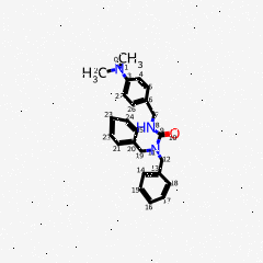 CN(C)c1ccc(CNC(=O)N(Cc2ccccc2)Cc2ccccc2)cc1